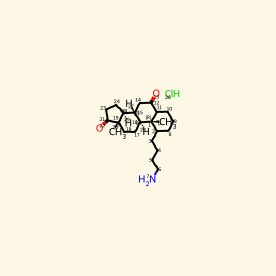 C[C@]12C(CCCCN)CCCC1C(=O)C[C@@H]1[C@@H]2CC[C@]2(C)C(=O)CC[C@@H]12.Cl